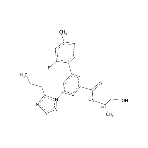 CCCc1nnnn1-c1cc(C(=O)N[C@@H](C)CO)cc(-c2ccc(C)cc2F)c1